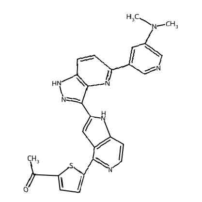 CC(=O)c1ccc(-c2nccc3[nH]c(-c4n[nH]c5ccc(-c6cncc(N(C)C)c6)nc45)cc23)s1